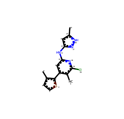 [C-]#[N+]c1c(-c2sccc2C)cc(Nc2cc(C)[nH]n2)nc1Cl